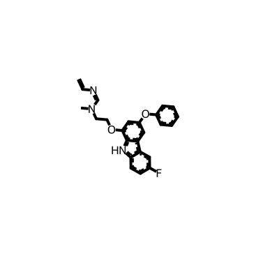 C=C/N=C\N(C)CCOc1cc(Oc2ccccc2)cc2c1[nH]c1ccc(F)cc12